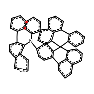 c1ccc(-c2ccc3ccccc3c2N(c2ccccc2)c2ccc3c(c2)C2(c4ccccc4-c4cccc5cccc2c45)c2cccc4cccc-3c24)cc1